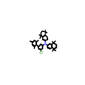 Cc1cc(C)c(-c2cc(Cl)cc(N(c3ccc4c(c3)C(C)(C)CCC4(C)C)c3ccc4c(c3)C(C)(C)CCC4(C)C)c2)c(C)c1